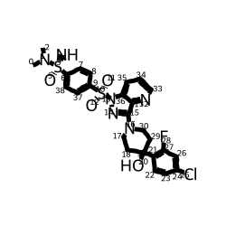 CN(C)S(=N)(=O)c1ccc(S(=O)(=O)n2nc(N3CCC(O)(c4ccc(Cl)cc4F)CC3)c3ncccc32)cc1